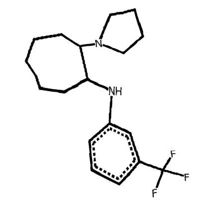 FC(F)(F)c1cccc(NC2CCCCCC2N2CCCC2)c1